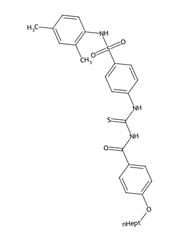 CCCCCCCOc1ccc(C(=O)NC(=S)Nc2ccc(S(=O)(=O)Nc3ccc(C)cc3C)cc2)cc1